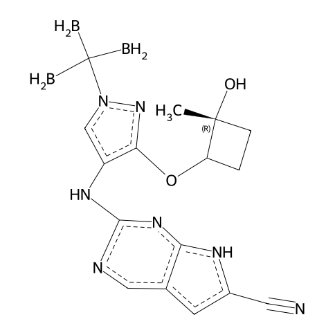 BC(B)(B)n1cc(Nc2ncc3cc(C#N)[nH]c3n2)c(OC2CC[C@@]2(C)O)n1